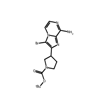 CC(C)(C)OC(=O)N1CCC(c2nc3c(N)nccn3c2Br)C1